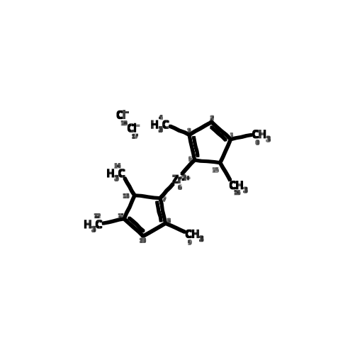 CC1=CC(C)=[C]([Zr+2][C]2=C(C)C=C(C)C2C)C1C.[Cl-].[Cl-]